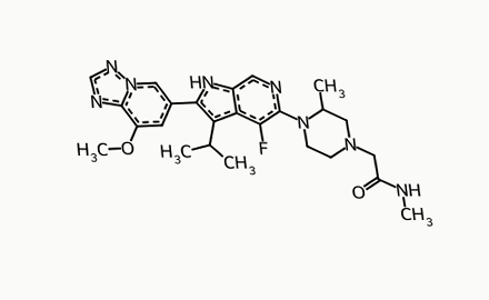 CNC(=O)CN1CCN(c2ncc3[nH]c(-c4cc(OC)c5ncnn5c4)c(C(C)C)c3c2F)C(C)C1